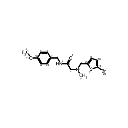 CN(CC(=O)NCc1ccc(OC(F)(F)F)cc1)Cc1ccc(Br)s1